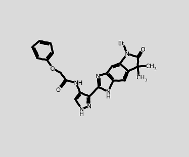 CCN1C(=O)C(C)(C)c2cc3[nH]c(-c4n[nH]cc4NC(=O)COc4ccccc4)nc3cc21